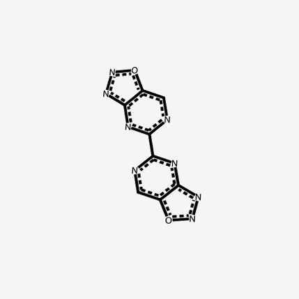 c1nc(-c2ncc3onnc3n2)nc2nnoc12